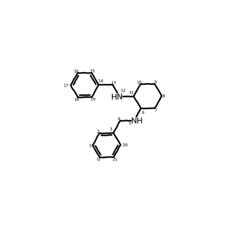 c1ccc(CNC2CCCCC2NCc2ccccc2)cc1